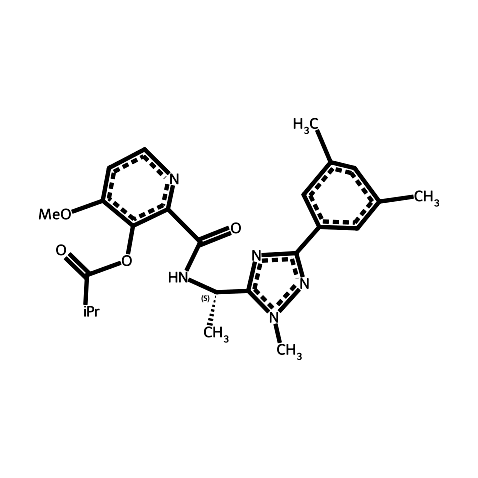 COc1ccnc(C(=O)N[C@@H](C)c2nc(-c3cc(C)cc(C)c3)nn2C)c1OC(=O)C(C)C